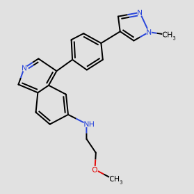 COCCNc1ccc2cncc(-c3ccc(-c4cnn(C)c4)cc3)c2c1